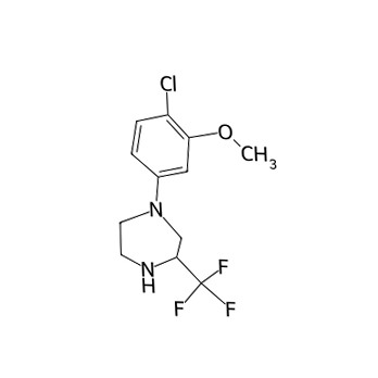 COc1cc(N2CCNC(C(F)(F)F)C2)ccc1Cl